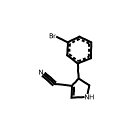 N#CC1=CNCC1c1cccc(Br)c1